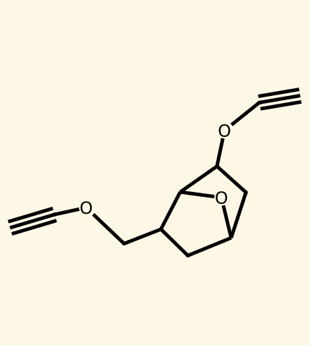 C#COCC1CC2CC(OC#C)C1O2